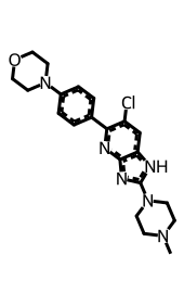 CN1CCN(c2nc3nc(-c4ccc(N5CCOCC5)cc4)c(Cl)cc3[nH]2)CC1